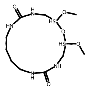 CO[SiH]1CNC(=O)NCCCCNC(=O)NC[SiH](OC)O1